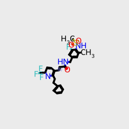 Cc1cc(CNC(=O)/C=C/c2ccc(C(F)(F)F)nc2CCc2ccccc2)cc(F)c1NS(C)(=O)=O